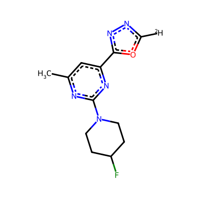 [2H]c1nnc(-c2cc(C)nc(N3CCC(F)CC3)n2)o1